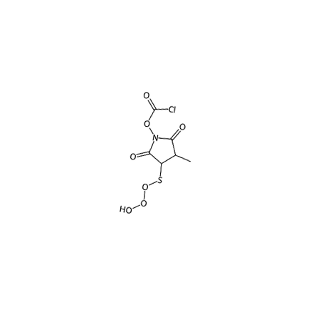 CC1C(=O)N(OC(=O)Cl)C(=O)C1SOOO